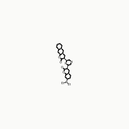 CCN(CC)c1ccc2cc(-c3cncc(-c4cc5cc6ccccc6cc5oc4=O)n3)c(=O)oc2c1